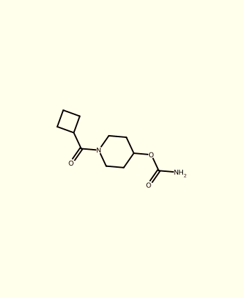 NC(=O)OC1CCN(C(=O)C2CCC2)CC1